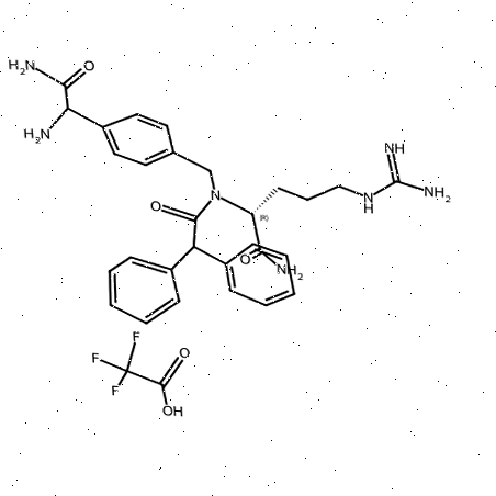 N=C(N)NCCC[C@H](C(N)=O)N(Cc1ccc(C(N)C(N)=O)cc1)C(=O)C(c1ccccc1)c1ccccc1.O=C(O)C(F)(F)F